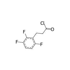 O=C(Cl)CCc1c(F)ccc(F)c1F